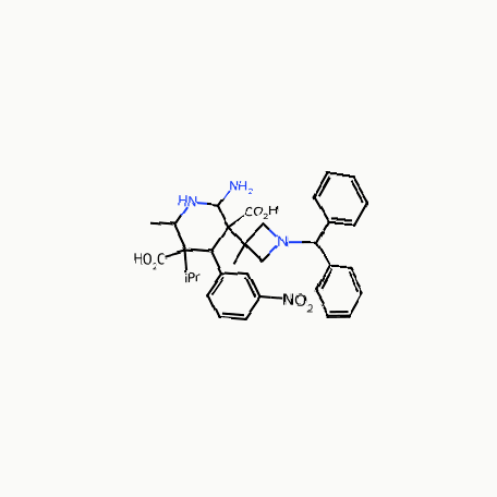 CC(C)C1(C(=O)O)C(C)NC(N)C(C(=O)O)(C2(C)CN(C(c3ccccc3)c3ccccc3)C2)C1c1cccc([N+](=O)[O-])c1